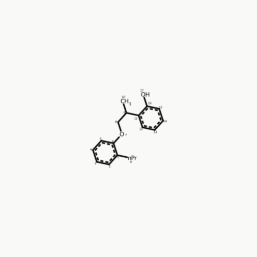 CCCc1ccccc1OCC(C)c1ccccc1O